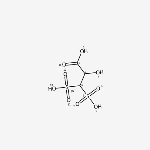 O=C(O)[C](O)C(S(=O)(=O)O)S(=O)(=O)O